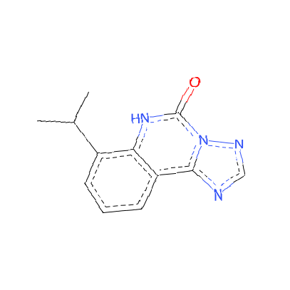 CC(C)c1cccc2c1[nH]c(=O)n1ncnc21